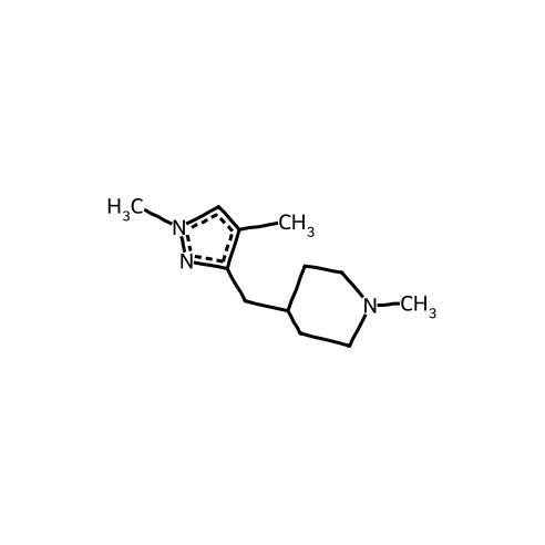 Cc1cn(C)nc1CC1CCN(C)CC1